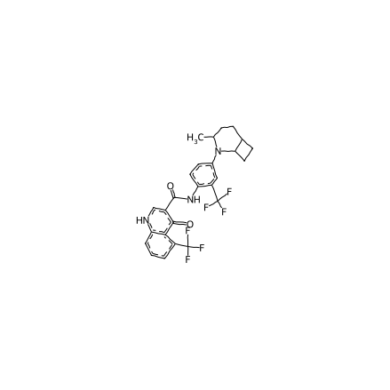 CC1CCC2CCC2N1c1ccc(NC(=O)c2c[nH]c3cccc(C(F)(F)F)c3c2=O)c(C(F)(F)F)c1